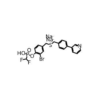 O=P(O)(Oc1ccc(CSCc2ccc(-c3cccnc3)cc2)cc1Br)C(F)F.[Na].[Na]